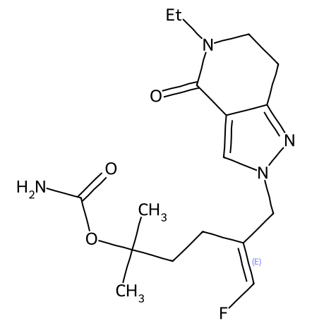 CCN1CCc2nn(C/C(=C/F)CCC(C)(C)OC(N)=O)cc2C1=O